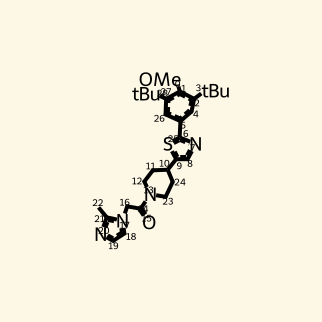 COc1c(C(C)(C)C)cc(-c2ncc(C3CCN(C(=O)Cn4ccnc4C)CC3)s2)cc1C(C)(C)C